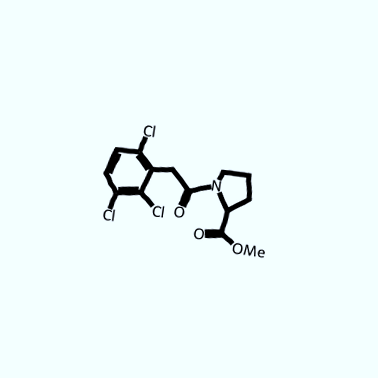 COC(=O)C1CCCN1C(=O)Cc1c(Cl)ccc(Cl)c1Cl